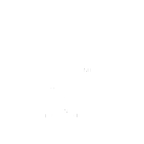 CN(C)C(=O)CCNc1cc[c]cc1